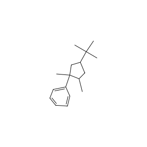 CC1CC(C(C)(C)C)CC1(C)c1ccccc1